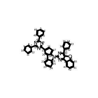 c1ccc(-c2nc(-c3ccccc3)nc(-c3ccc4c(c3)c3ccccc3n4-c3nc(-c4ccccc4)c4oc5ccccc5c4n3)n2)cc1